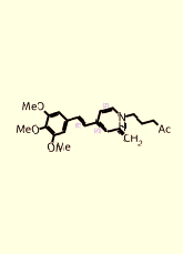 C=C/C=C(\C=C/NCCCC(C)=O)/C=C/c1cc(OC)c(OC)c(OC)c1